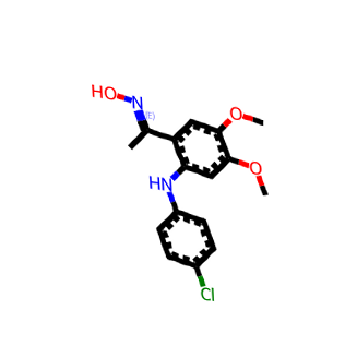 COc1cc(Nc2ccc(Cl)cc2)c(/C(C)=N/O)cc1OC